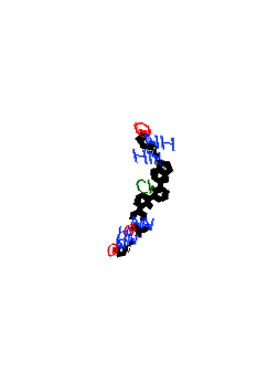 Cc1c(-c2ccn3c(=O)c(CNC[C@H]4CCC(=O)N4)cnc3c2)cccc1-c1cccc(-c2ccc3c(c2)CC[C@@H]3NC[C@@H]2CCC(=O)N2)c1Cl